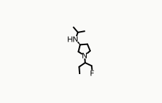 CCC(CF)N1CC[C@H](NC(C)C)C1